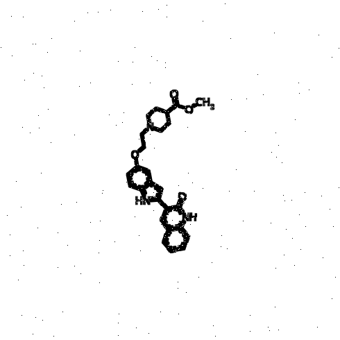 COC(=O)C1CCN(CCOc2ccc3[nH]c(-c4cc5ccccc5[nH]c4=O)cc3c2)CC1